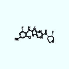 Cn1c(Nc2c(F)cc(C#N)cc2Cl)nc2cnc(N[C@H]3CCOC[C@H]3F)nc21